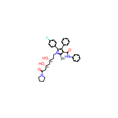 CC(C)c1c(C(=O)Nc2ccccc2)c(-c2ccccc2)c(-c2ccc(F)cc2)n1CC[C@@H](O)C[C@@H](O)CC(=O)N1CCCC1